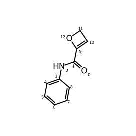 O=C(Nc1ccccc1)C1=CCO1